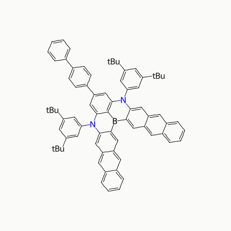 CC(C)(C)c1cc(N2c3cc4cc5ccccc5cc4cc3B3c4cc5cc6ccccc6cc5cc4N(c4cc(C(C)(C)C)cc(C(C)(C)C)c4)c4cc(-c5ccc(-c6ccccc6)cc5)cc2c43)cc(C(C)(C)C)c1